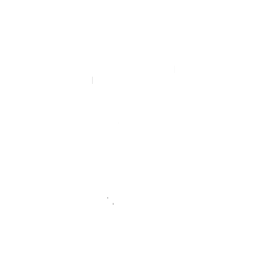 CCN(CC)CCOC(=O)C(C)(C)I